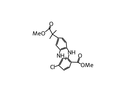 COC(=O)c1ccc(Cl)cc1Nc1ccc(C(C)(C)C(=O)OC)cc1N